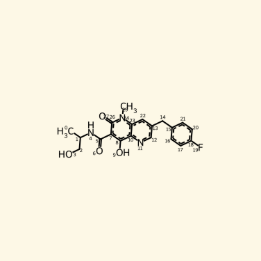 CC(CO)NC(=O)c1c(O)c2ncc(Cc3ccc(F)cc3)cc2n(C)c1=O